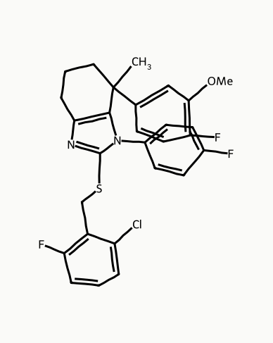 COc1cc(C2(C)CCCc3nc(SCc4c(F)cccc4Cl)n(-c4ccc(F)cc4)c32)ccc1F